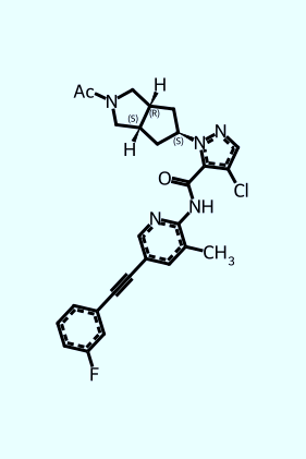 CC(=O)N1C[C@H]2C[C@H](n3ncc(Cl)c3C(=O)Nc3ncc(C#Cc4cccc(F)c4)cc3C)C[C@H]2C1